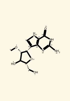 CO[C@H]1C(O)[C@@H](CO)O[C@H]1c1c[nH]c2c(=O)[nH]c(N)nc12